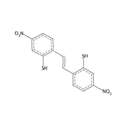 O=[N+]([O-])c1ccc(/C=C/c2ccc([N+](=O)[O-])cc2S)c(S)c1